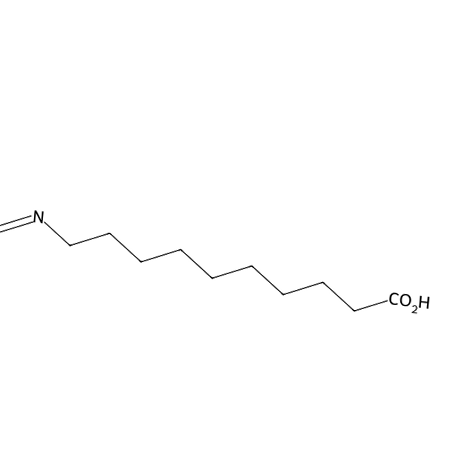 C=NCCCCCCCCCC(=O)O